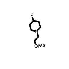 COCCN1CCC(F)CC1